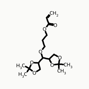 C=CC(=O)OCCCOC(C1COC(C)(C)O1)C1COC(C)(C)O1